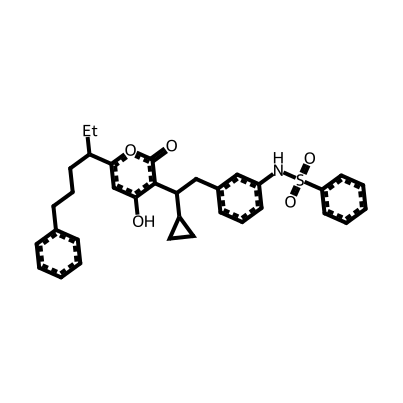 CCC(CCCc1ccccc1)c1cc(O)c(C(Cc2cccc(NS(=O)(=O)c3ccccc3)c2)C2CC2)c(=O)o1